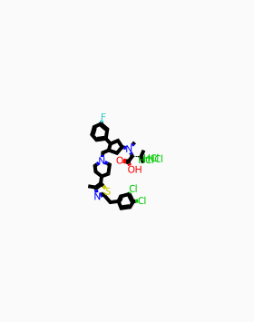 Cc1nc(Cc2ccc(Cl)c(Cl)c2)sc1C1CCN(CC2CC(N(C)[C@@H](C(=O)O)C(C)C)CC2c2cccc(F)c2)CC1.Cl.Cl.Cl